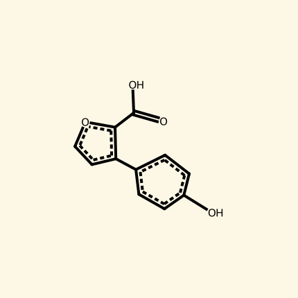 O=C(O)c1occc1-c1ccc(O)cc1